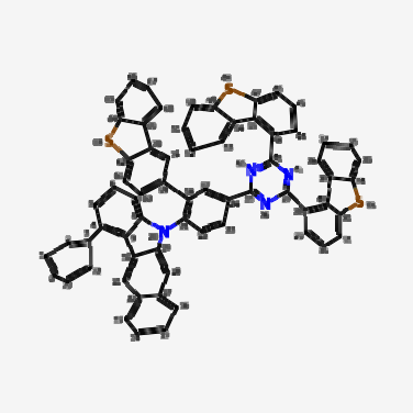 c1ccc(-c2cccc3c2c2cc4ccccc4cc2n3-c2ccc(-c3nc(-c4cccc5sc6ccccc6c45)nc(-c4cccc5sc6ccccc6c45)n3)cc2-c2ccc3sc4ccccc4c3c2)cc1